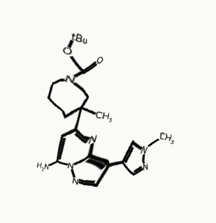 Cn1cc(-c2cnn3c(N)cc(C4(C)CCCN(C(=O)OC(C)(C)C)C4)nc23)cn1